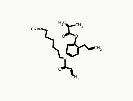 C=CC(=O)OCCCCCCCCCCCCCCCC.C=CCc1ccccc1OC(=O)C(=C)C